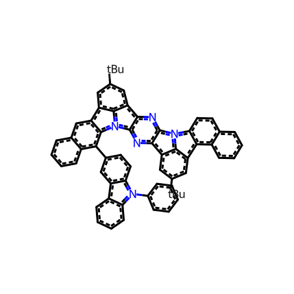 CC(C)(C)c1cc2c3nc4c(nc3n3c5ccc6ccccc6c5c(c1)c23)c1cc(C(C)(C)C)cc2c3cc5ccccc5c(-c5ccc6c(c5)c5ccccc5n6-c5ccccc5)c3n4c21